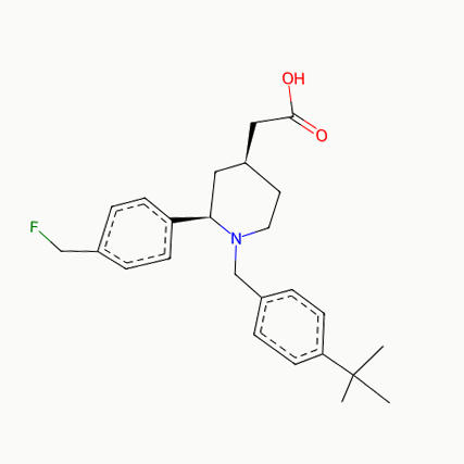 CC(C)(C)c1ccc(CN2CC[C@H](CC(=O)O)C[C@@H]2c2ccc(CF)cc2)cc1